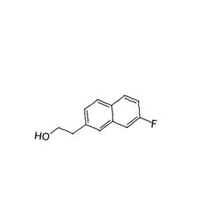 OCCc1ccc2ccc(F)cc2c1